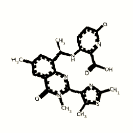 Cc1cc([C@@H](C)Nc2ccc(Cl)nc2C(=O)O)c2nc(-c3nc(C)sc3C)n(C)c(=O)c2c1